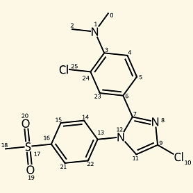 CN(C)c1ccc(-c2nc(Cl)cn2-c2ccc(S(C)(=O)=O)cc2)cc1Cl